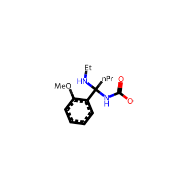 CCCC(NCC)(NC([O])=O)c1ccccc1OC